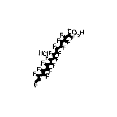 Cl.O=C(O)C(F)C(F)C(F)C(F)C(F)C(F)C(F)C(F)C(F)C(F)C(F)C(F)C(F)C(F)C(F)C(F)CCF